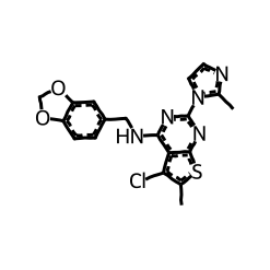 Cc1sc2nc(-n3ccnc3C)nc(NCc3ccc4c(c3)OCO4)c2c1Cl